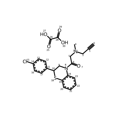 C#CCN(C)CC(=O)N1CC(c2ccc(Cl)cc2)Sc2ccccc21.O=C(O)C(=O)O